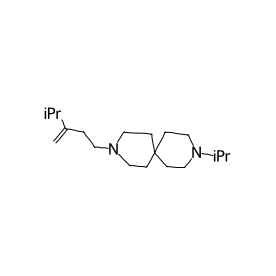 C=C(CCN1CCC2(CC1)CCN(C(C)C)CC2)C(C)C